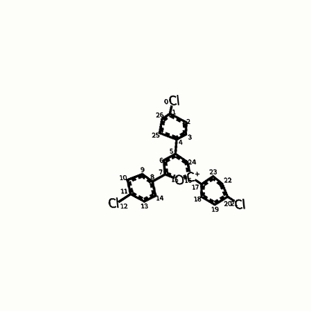 Clc1ccc(-c2cc(-c3ccc(Cl)cc3)o[c+](-c3ccc(Cl)cc3)c2)cc1